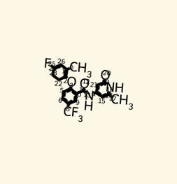 CC1=C(Oc2ccc(C(F)(F)F)cc2C(=O)Nc2cc(C)[nH]c(=O)c2)CCC(F)=C1